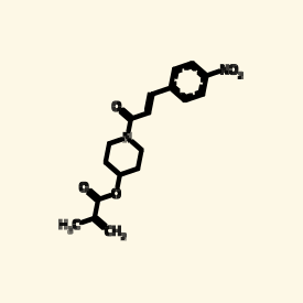 C=C(C)C(=O)OC1CCN(C(=O)/C=C/c2ccc([N+](=O)[O-])cc2)CC1